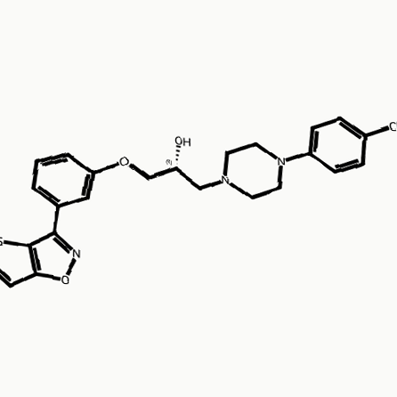 O[C@@H](COc1cccc(-c2noc3ccsc23)c1)CN1CCN(c2ccc(Cl)cc2)CC1